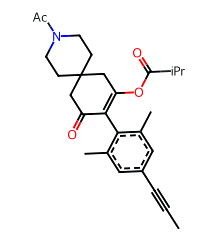 CC#Cc1cc(C)c(C2=C(OC(=O)C(C)C)CC3(CCN(C(C)=O)CC3)CC2=O)c(C)c1